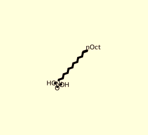 CCCCCCCCC=CCCCCCCCCCC[N+]([O-])(O)O